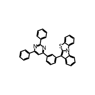 c1ccc(-c2cc(-c3cccc(-c4c5ccccc5n5c4sc4ccccc45)c3)nc(-c3ccccc3)n2)cc1